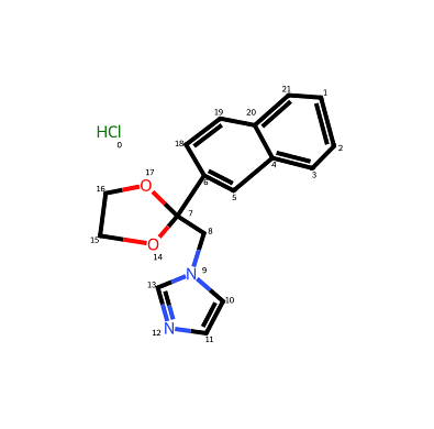 Cl.c1ccc2cc(C3(Cn4ccnc4)OCCO3)ccc2c1